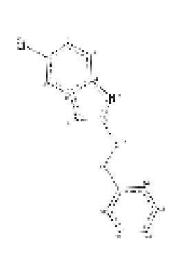 Clc1ccc2nc(SCc3ccccc3)sc2c1